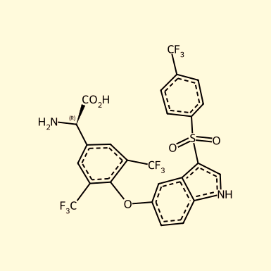 N[C@@H](C(=O)O)c1cc(C(F)(F)F)c(Oc2ccc3[nH]cc(S(=O)(=O)c4ccc(C(F)(F)F)cc4)c3c2)c(C(F)(F)F)c1